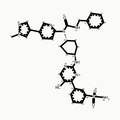 Cn1cc(-c2ccc(N(C(=O)NCc3ccccc3)[C@H]3CC[C@H](Nc4ncc(C#N)c(-c5cccc(S(N)(=O)=O)c5)n4)CC3)nc2)cn1